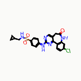 O=C1Cc2cnc(Nc3ccc(S(=O)(=O)NCC4CC4)cc3)nc2-c2ccc(Cl)cc2N1